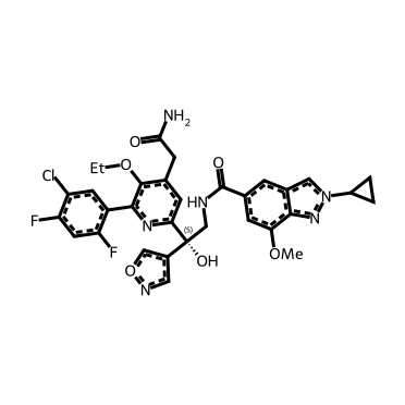 CCOc1c(CC(N)=O)cc([C@@](O)(CNC(=O)c2cc(OC)c3nn(C4CC4)cc3c2)c2cnoc2)nc1-c1cc(Cl)c(F)cc1F